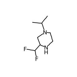 CC(C)N1CCNC(C(F)F)C1